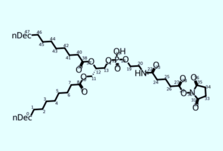 CCCCCCCCCCCCCCCCCC(=O)OC[C@@H](COP(=O)(O)OCCNC(=O)CCCC(=O)ON1C(=O)CCC1=O)OC(=O)CCCCCCCCCCCCCCCCC